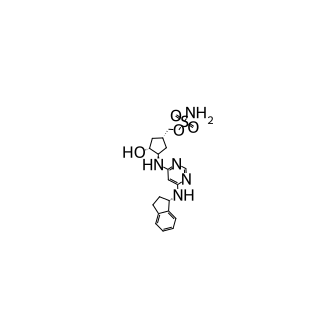 NS(=O)(=O)OC[C@H]1C[C@@H](O)[C@H](Nc2cc(N[C@H]3CCc4ccccc43)ncn2)C1